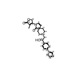 CC1=C(N2C=CC3(CCN(C[C@H](O)c4ccc(-n5cnnn5)nc4)CC3)C2=O)COC1=O